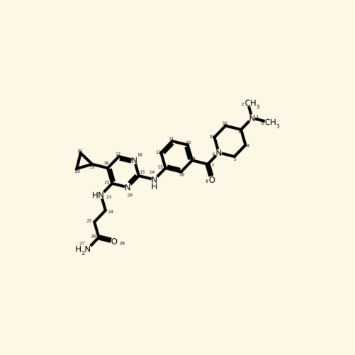 CN(C)C1CCN(C(=O)c2cccc(Nc3ncc(C4CC4)c(NCCC(N)=O)n3)c2)CC1